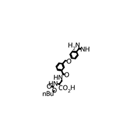 CCCCOC(=O)NC(CNC(=O)c1cccc(COc2ccc(C(=N)N)cc2)c1)C(=O)O